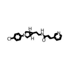 O=C(/C=C/c1cccnc1)NCCC1[C@H]2CN(c3ccc(Cl)cc3)C[C@@H]12